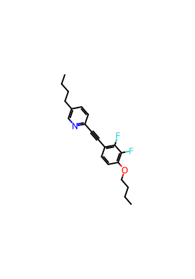 CCCCOc1ccc(C#Cc2ccc(CCCC)cn2)c(F)c1F